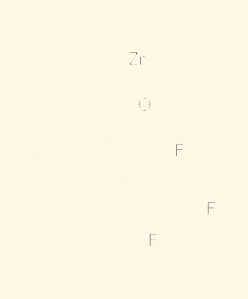 FC(F)(F)c1ccccc1[O][Zr]